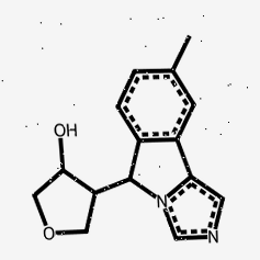 Cc1ccc2c(c1)-c1cncn1C2C1COCC1O